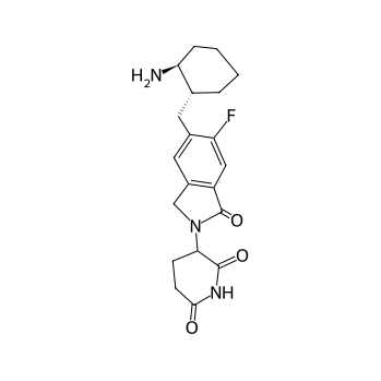 N[C@H]1CCCC[C@@H]1Cc1cc2c(cc1F)C(=O)N(C1CCC(=O)NC1=O)C2